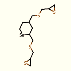 C1CC(CSCC2CS2)CC(CSCC2CS2)[Se]1